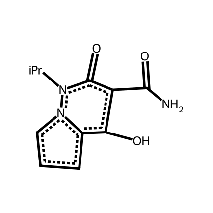 CC(C)n1c(=O)c(C(N)=O)c(O)c2cccn21